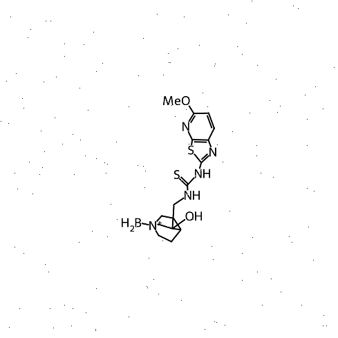 B[N+]12CCC(CC1)C(O)(CNC(=S)Nc1nc3ccc(OC)nc3s1)C2